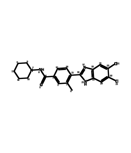 Cc1cc(C(=O)NN2CCCCC2)ccc1-c1nc2cc(Cl)c(Cl)cc2[nH]1